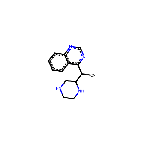 N#CC(c1ncnc2ccccc12)C1CNCCN1